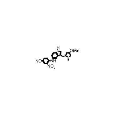 CO[C@@H]1C[C@@H](Cc2c[nH]c3ccc(Nc4ccc(C#N)cc4[N+](=O)[O-])cc23)N(C)C1